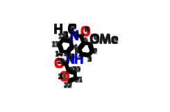 COc1ccccc1C(=O)N(C)c1cccc(NC(=O)c2ccco2)c1